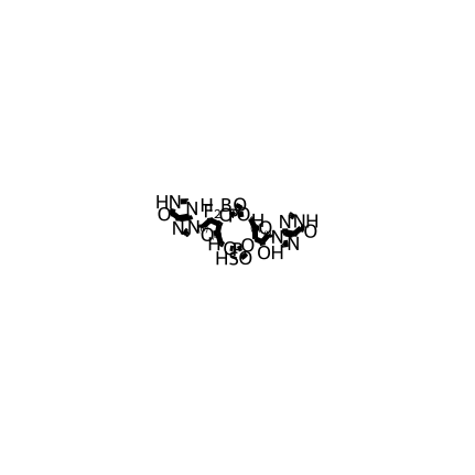 BP1(=O)OC[C@H]2O[C@@H](n3cnc4c(=O)[nH]cnc43)C(O)C2OP(=O)(S)OC[C@H]2O[C@@H](n3cnc4c(=O)[nH]cnc43)C(F)C2O1